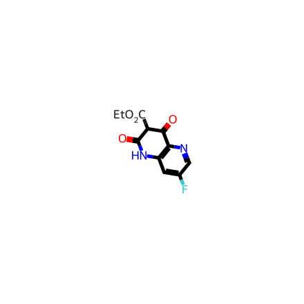 CCOC(=O)C1C(=O)Nc2cc(F)cnc2C1=O